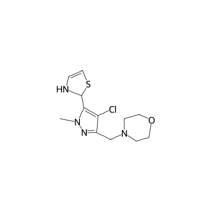 Cn1nc(CN2CCOCC2)c(Cl)c1C1NC=CS1